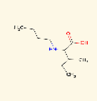 CCCCNC(C(=O)O)C(C)CC